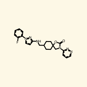 O=C1OC2(CCC(CNc3ccn(-c4ccccc4F)n3)CC2)CN1c1cccnn1